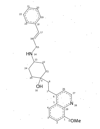 COc1cccc2c(CCC3(O)CCC(NCC=Cc4ccccc4)CC3)ccnc12